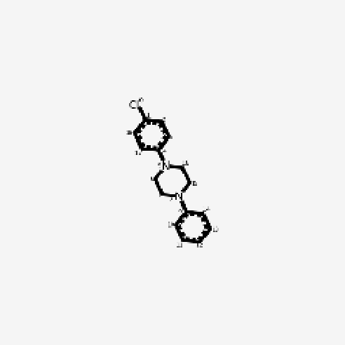 Clc1ccc(N2CCN(c3[c]cccc3)CC2)cc1